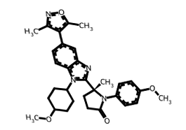 COc1ccc(N2C(=O)CC[C@]2(C)c2nc3cc(-c4c(C)noc4C)ccc3n2C2CCC(OC)CC2)cc1